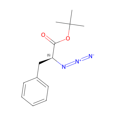 CC(C)(C)OC(=O)[C@H](Cc1ccccc1)N=[N+]=[N-]